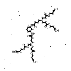 C#CCCOC(=O)CCN(CCCC(=O)N[C@@H]1CCC[C@H](NC(=O)CCCN(CCC(=O)OCCC#C)CCC(=O)OCCC#C)C1)CCC(=O)OCCC#C